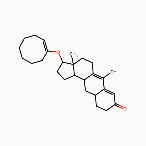 CC1=C2CCC3(C)C(OC4=CCCCCCC4)CCC3C2CC2CCC(=O)C=C12